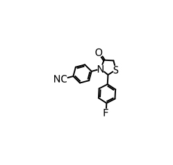 N#Cc1ccc(N2C(=O)CSC2c2ccc(F)cc2)cc1